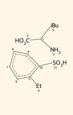 CCC(C)C(N)C(=O)O.CCc1ccccc1S(=O)(=O)O